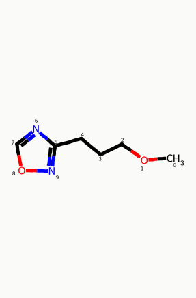 COCCCc1n[c]on1